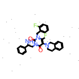 Cc1c(N2CCc3ccccc3C2)c(=O)n(C[C@H](N)c2ccccc2)c(=O)n1Cc1c(F)cccc1F